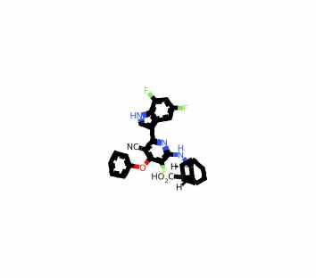 N#Cc1c(-c2c[nH]c3c(F)cc(F)cc23)nc(N[C@H]2C3CCC(CC3)[C@@H]2C(=O)O)c(F)c1Oc1ccccc1